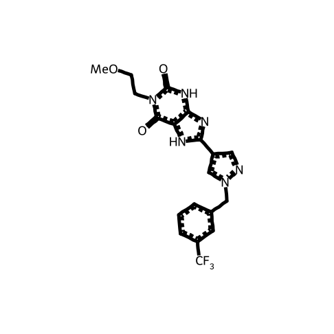 COCCn1c(=O)[nH]c2nc(-c3cnn(Cc4cccc(C(F)(F)F)c4)c3)[nH]c2c1=O